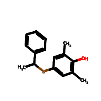 Cc1cc(SC(C)c2ccccc2)cc(C)c1O